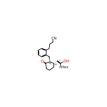 CCCCCC/C(O)=C\[C@@H]1CCCC(=O)[C@H]1Cc1ccccc1CCCC#N